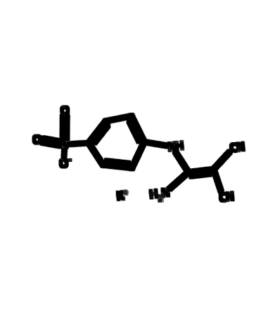 N#CC(C#N)=C(N)Nc1ccc(S(=O)(=O)[O-])cc1.[K+]